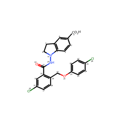 O=C(O)c1ccc2c(c1)CCN2NC(=O)c1cc(Cl)ccc1COc1ccc(Cl)cc1